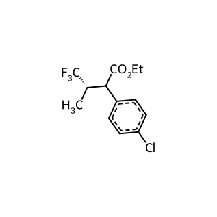 CCOC(=O)C(c1ccc(Cl)cc1)[C@H](C)C(F)(F)F